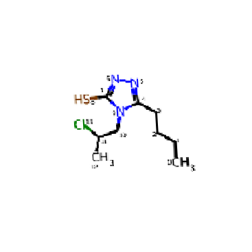 CCCCc1nnc(S)n1CC(C)Cl